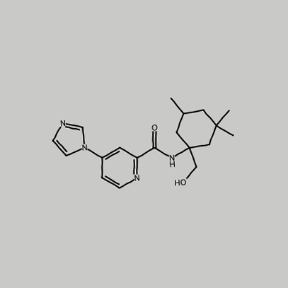 CC1CC(C)(C)CC(CO)(NC(=O)c2cc(-n3ccnc3)ccn2)C1